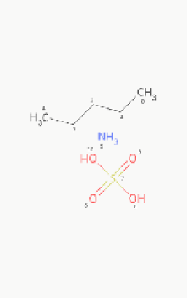 CCCCC.N.O=S(=O)(O)O